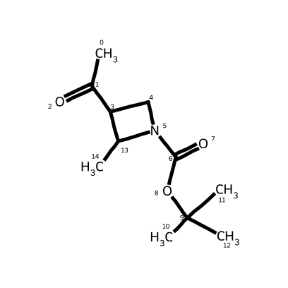 CC(=O)C1CN(C(=O)OC(C)(C)C)C1C